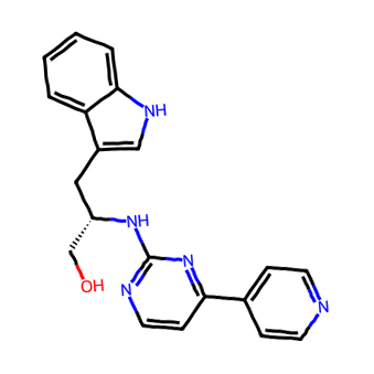 OC[C@H](Cc1c[nH]c2ccccc12)Nc1nccc(-c2ccncc2)n1